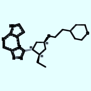 CC[C@@H]1C[C@H](OCCC2CCOCC2)C[C@H]1c1nnc2cnc3[nH]ccc3n12